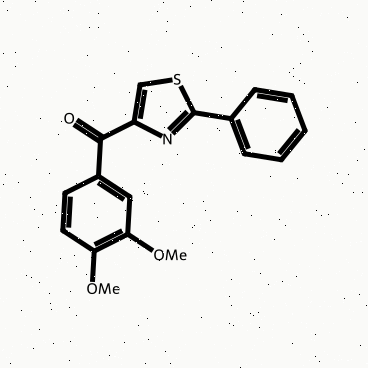 COc1ccc(C(=O)c2csc(-c3ccccc3)n2)cc1OC